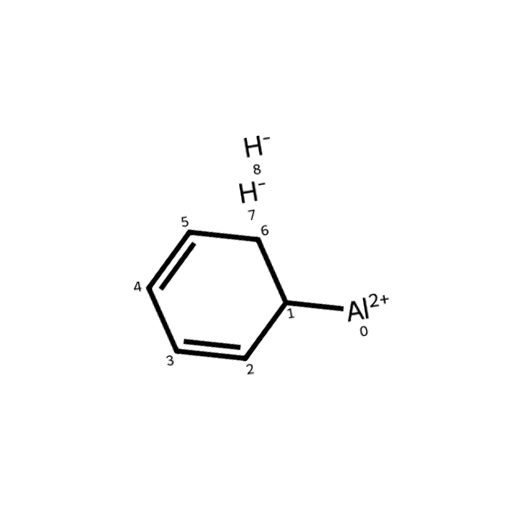 [Al+2][CH]1C=CC=CC1.[H-].[H-]